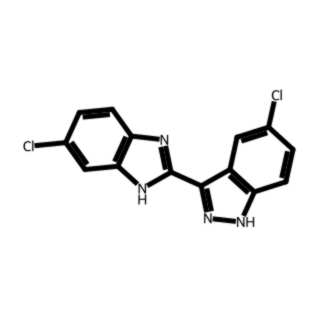 Clc1ccc2nc(-c3n[nH]c4ccc(Cl)cc34)[nH]c2c1